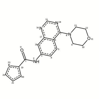 O=C(Nc1ccc2c(N3CCOCC3)ncnc2c1)c1cccs1